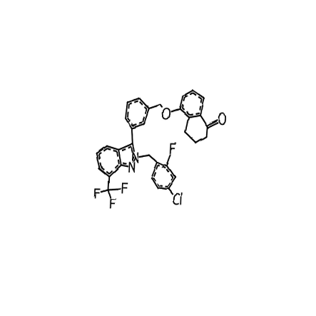 O=C1CCCc2c(OCc3cccc(-c4c5cccc(C(F)(F)F)c5nn4Cc4ccc(Cl)cc4F)c3)cccc21